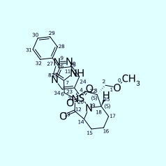 COC[C@H]1CN(Cc2cnn[nH]2)C(=O)C2CCC[C@@H]1N2S(=O)(=O)c1ccc(-c2ccccc2)nc1